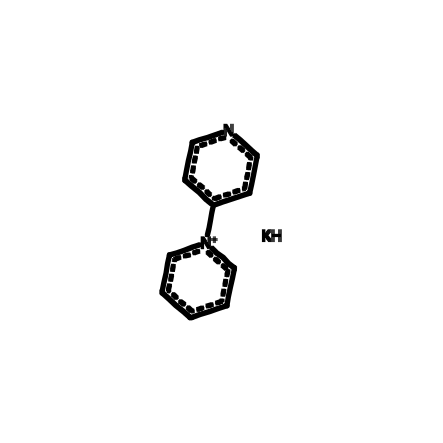 [KH].c1cc[n+](-c2ccncc2)cc1